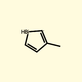 CC1=[C][BiH][CH]=C1